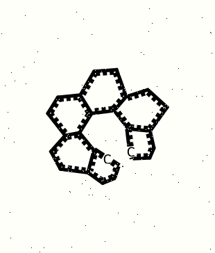 [c]1ccc2ccc3ccc4ccc5ccc6ccccc6c5c4c3c2c1